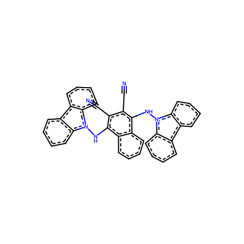 N#Cc1c(C#N)c(Nn2c3ccccc3c3ccccc32)c2ccccc2c1Nn1c2ccccc2c2ccccc21